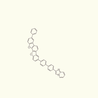 c1ccc(-c2ccc3oc4c(ccc5c6cc(-c7ccc(-c8ccc(-c9cn%10ccccc%10n9)cc8)cc7)ccc6oc54)c3c2)cc1